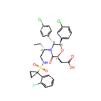 CC[C@@H](CNS(=O)(=O)C1(c2ccccc2F)CC1)N1C(=O)[C@H](CC(=O)O)O[C@H](c2cccc(Cl)c2)[C@H]1c1ccc(Cl)cc1